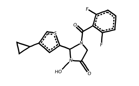 O=C1CN(C(=O)c2c(F)cccc2F)C(c2cc(C3CC3)cs2)N1O